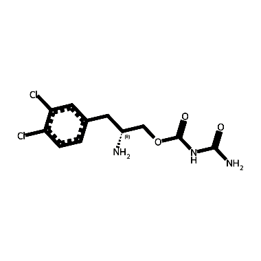 NC(=O)NC(=O)OC[C@H](N)Cc1ccc(Cl)c(Cl)c1